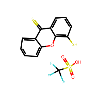 O=S(=O)(O)C(F)(F)F.S=c1c2ccccc2oc2c(S)cccc12